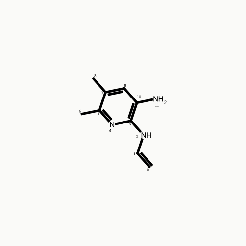 C=CNc1nc(C)c(C)cc1N